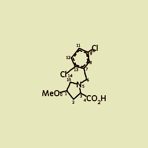 COC1CC(C(=O)O)N(Cc2cc(Cl)ccc2Cl)C1